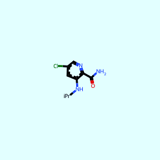 CC(C)Nc1cc(Cl)cnc1C(N)=O